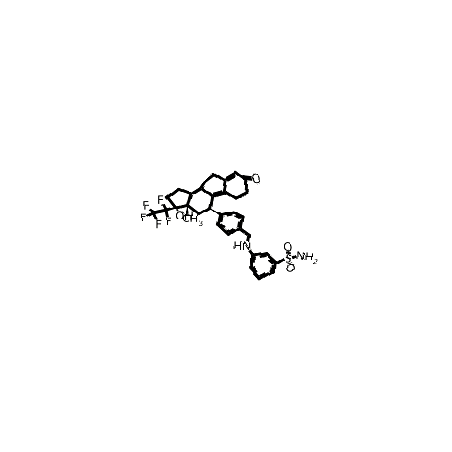 C[C@]12C[C@H](c3ccc(CNc4cccc(S(N)(=O)=O)c4)cc3)C3=C4CCC(=O)C=C4CCC3C1CC[C@]2(O)C(F)(F)C(F)(F)F